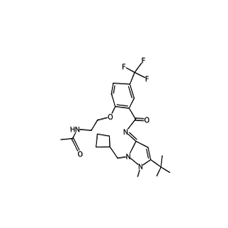 CC(=O)NCCOc1ccc(C(F)(F)F)cc1C(=O)N=c1cc(C(C)(C)C)n(C)n1CC1CCC1